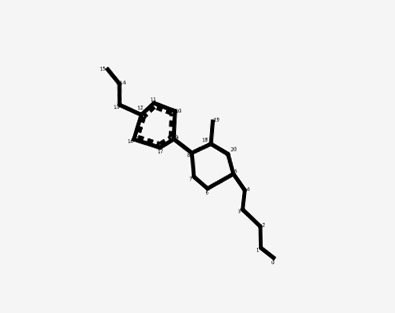 CCCCCC1CCC(c2ccc(CCC)cc2)C(C)C1